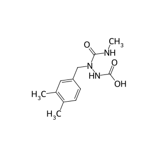 CNC(=O)N(Cc1ccc(C)c(C)c1)NC(=O)O